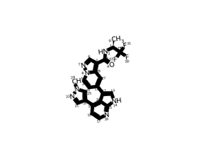 C[C@@H](NC(=O)c1cnn2ccc(-c3c[nH]c4nccc(-c5cnn(C)c5)c34)cc12)C(F)(F)F